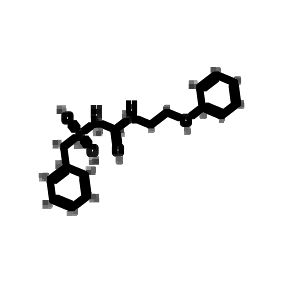 O=C(NCCOc1ccccc1)NS(=O)(=O)Cc1ccccc1